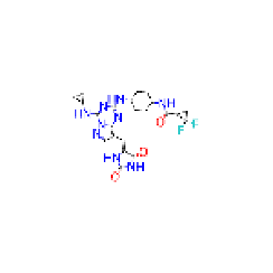 O=C1NC(=O)/C(=C/c2cnn3c(NC4CC4)nc(N[C@H]4CC[C@H](NC(=O)C5CC5(F)F)CC4)nc23)N1